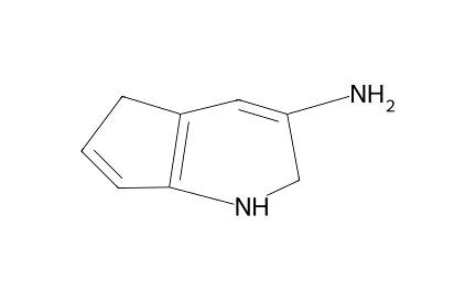 NC1=CC2=C(C=CC2)NC1